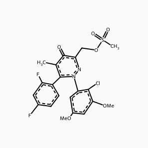 COc1cc(OC)c(Cl)c(-n2nc(COS(C)(=O)=O)c(=O)c(C)c2-c2ccc(F)cc2F)c1